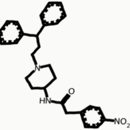 O=C(Cc1ccc([N+](=O)[O-])cc1)NC1CCN(CCC(c2ccccc2)c2ccccc2)CC1